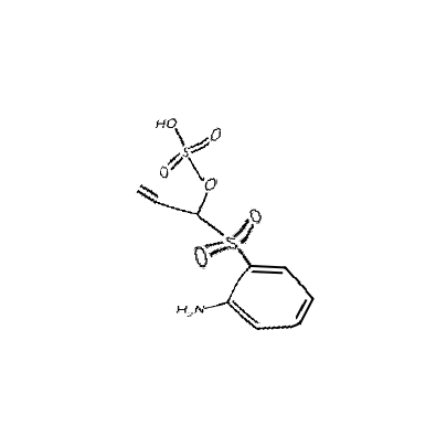 C=CC(OS(=O)(=O)O)S(=O)(=O)c1ccccc1N